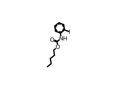 CCCCCOC(=O)Nc1ccccc1I